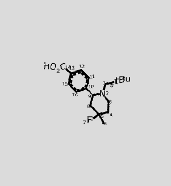 CC(C)(C)CN1CCC(C)(F)C[C@H]1c1ccc(C(=O)O)cc1